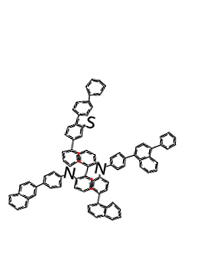 c1ccc(-c2ccc3c(c2)sc2cc(-c4ccc(N(c5ccc(-c6ccc7ccccc7c6)cc5)c5ccccc5-c5ccccc5N(c5ccc(-c6cccc7ccccc67)cc5)c5ccc(-c6ccc(-c7ccccc7)c7ccccc67)cc5)cc4)ccc23)cc1